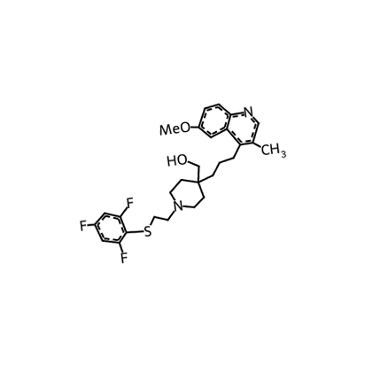 COc1ccc2ncc(C)c(CCCC3(CO)CCN(CCSc4c(F)cc(F)cc4F)CC3)c2c1